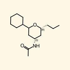 CCC[C@@H]1C[C@H](NC(C)=O)CC(C2CCCCC2)O1